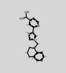 OC(O)c1ccnc(-c2cn(CC3CCCc4ccccc43)cn2)c1